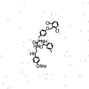 COc1ccc(NCCNC(=O)[C@H](Cc2ccc(OCc3c(Cl)cccc3Cl)cc2)NC(=O)c2cccc(C)c2)cc1